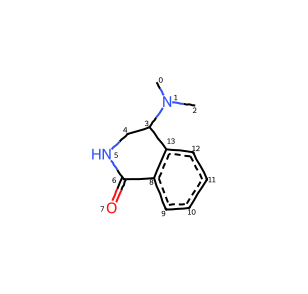 CN(C)C1CNC(=O)c2ccccc21